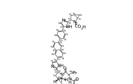 COC(=O)NC(C(=O)N1[C@@H]2C[C@@H]2C[C@H]1c1ncc(-c2ccc3cc(-c4ccc(-c5cnc(C6CC7CC7N6C(=O)O)[nH]5)cc4)ccc3c2)[nH]1)C(C)C